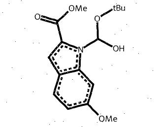 COC(=O)c1cc2ccc(OC)cc2n1C(O)OC(C)(C)C